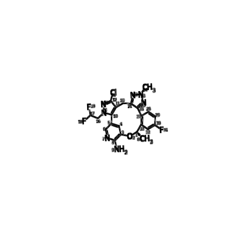 C[C@H]1Oc2cc(cnc2N)-c2c(c(Cl)nn2CC(F)F)Cc2nn(C)nc2-c2ccc(F)cc21